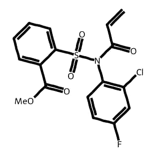 C=CC(=O)N(c1ccc(F)cc1Cl)S(=O)(=O)c1ccccc1C(=O)OC